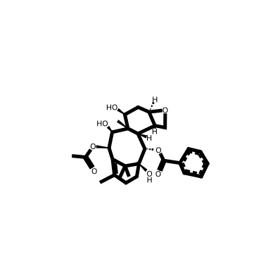 CC(=O)O[C@@H]1C2=C(C)CC[C@@](O)([C@@H](OC(=O)c3ccccc3)[C@H]3[C@@H]4CO[C@@H]4C[C@H](O)[C@@]3(C)[C@@H]1O)C2(C)C